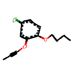 CC#COc1cc(Cl)ccc1OCCCC